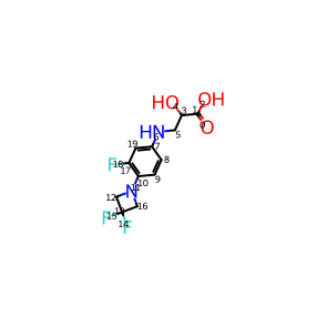 O=C(O)C(O)CNc1ccc(N2CC(F)(F)C2)c(F)c1